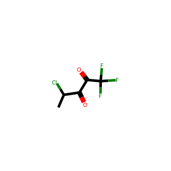 CC(Cl)C(=O)C(=O)C(F)(F)F